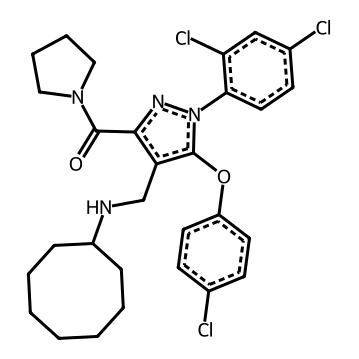 O=C(c1nn(-c2ccc(Cl)cc2Cl)c(Oc2ccc(Cl)cc2)c1CNC1CCCCCCC1)N1CCCC1